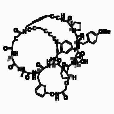 COc1ccc(C[C@@H]2NC(=O)[C@H]([C@@H](C)O)NC(=O)C3[C@@H]4CCN3C(=O)[C@@H]3Cc5cn(c6ccc(F)cc56)CCCCCCN(Cc5ccc(cc5)CCNC(=O)[C@]5(C)CCCN5C2=O)C(=O)CCC(=O)N[C@@H](C)C(=O)N[C@H](C)C(=O)N[C@@H](Cc2cccc(c2)CNC(=O)CO4)C(=O)N3)cc1